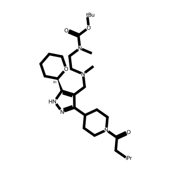 CC(C)CC(=O)N1CCC(c2n[nH]c([C@H]3CCCCO3)c2CN(C)CCN(C)C(=O)OC(C)(C)C)CC1